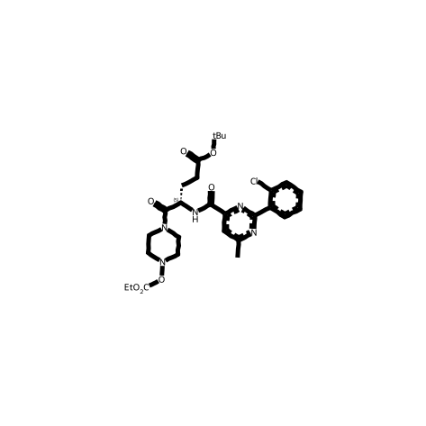 CCOC(=O)ON1CCN(C(=O)[C@H](CCC(=O)OC(C)(C)C)NC(=O)c2cc(C)nc(-c3ccccc3Cl)n2)CC1